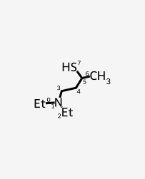 CCN(CC)CCC(C)S